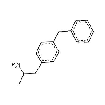 CC(N)Cc1ccc(Cc2ccccc2)cc1